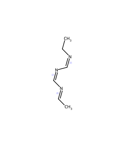 C/C=N/C=N\C=N/CC